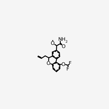 C=CCC1Oc2cccc(OC(F)F)c2-c2ccc(C(OC)C(N)=O)cc21